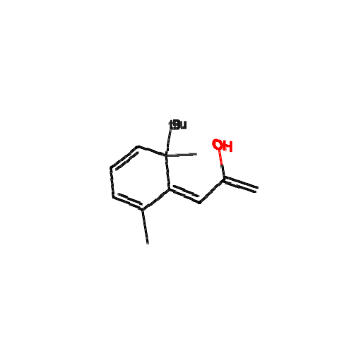 C=C(O)/C=C1/C(C)=CC=CC1(C)C(C)(C)C